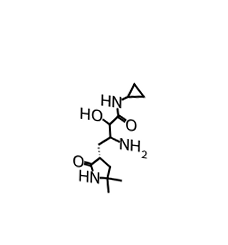 CC1(C)C[C@@H](CC(N)C(O)C(=O)NC2CC2)C(=O)N1